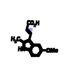 COc1ccc2[nH]c(C)c(/C=C/C(=O)O)c2c1